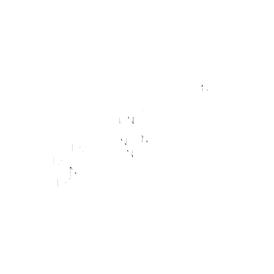 Cc1cc(-c2cccc3nc(Nc4ccc(CCCN5CCCC5)cc4)nn23)ccc1N(C)C